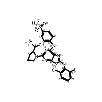 CC(C)C1CCCN1c1nc(Nc2ccc(S(C)(=O)=O)cc2)c2nc(Nc3c(Cl)cccc3Cl)sc2n1